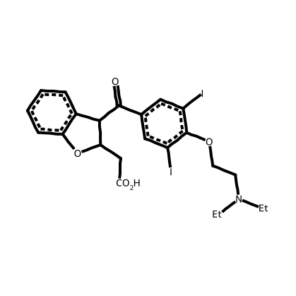 CCN(CC)CCOc1c(I)cc(C(=O)C2c3ccccc3OC2CC(=O)O)cc1I